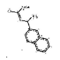 CN/C(Cl)=N\C(N)c1ccc2ccccc2c1